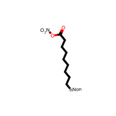 CCCCCCCCCCCCCCCCCC(=O)O[N+](=O)[O-]